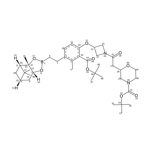 Cc1c(CCB2O[C@@H]3C[C@@H]4C[C@@H](C4(C)C)[C@]3(C)O2)ccc(OC2CN(C(=O)CC3CN(C(=O)OC(C)(C)C)CCO3)C2)c1C(=O)OC(C)(C)C